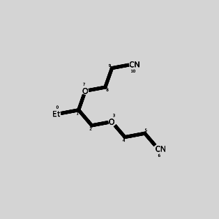 CCC(COCCC#N)OCCC#N